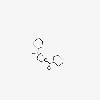 CC(C[N+](C)(C)C1CCCCC1)OC(=O)C1CCCCC1